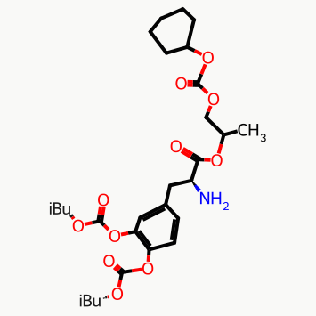 CCC(C)OC(=O)Oc1cc(C[C@H](N)C(=O)OC(C)COC(=O)OC2CCCCC2)ccc1OC(=O)O[C@@H](C)CC